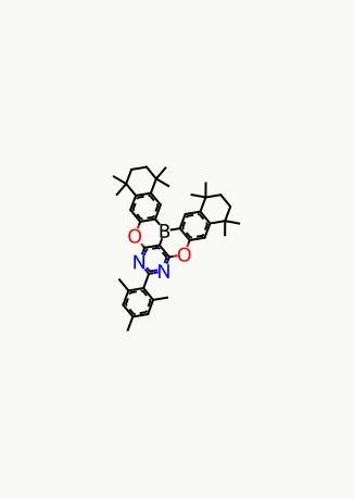 Cc1cc(C)c(-c2nc3c4c(n2)Oc2cc5c(cc2B4c2cc4c(cc2O3)C(C)(C)CCC4(C)C)C(C)(C)CCC5(C)C)c(C)c1